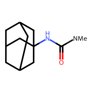 CNC(=O)NC12CC3CC(CC(C3)C1)C2